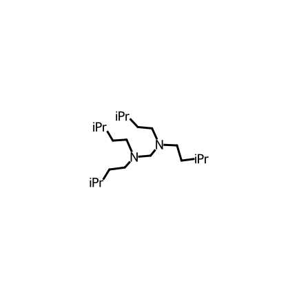 CC(C)CCN(CCC(C)C)CN(CCC(C)C)CCC(C)C